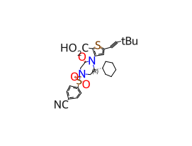 CC(C)(C)C#Cc1cc(N2C(=O)CN(S(=O)(=O)c3ccc(C#N)cc3)C[C@H]2C2CCCCC2)c(C(=O)O)s1